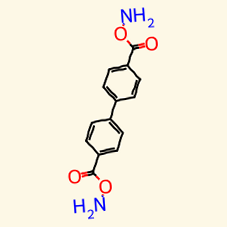 NOC(=O)c1ccc(-c2ccc(C(=O)ON)cc2)cc1